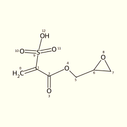 C=C(C(=O)OCC1CO1)S(=O)(=O)O